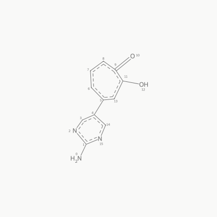 Nc1ncc(-c2cccc(=O)c(O)c2)cn1